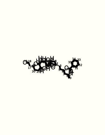 C=C(Br)CC(CC[C@@]12C[C@H]3O[C@H]4[C@@H](O1)[C@H]1O[C@@H](CC=O)CC[C@@H]1O[C@H]4[C@H]3O2)OC(=O)c1ccccc1